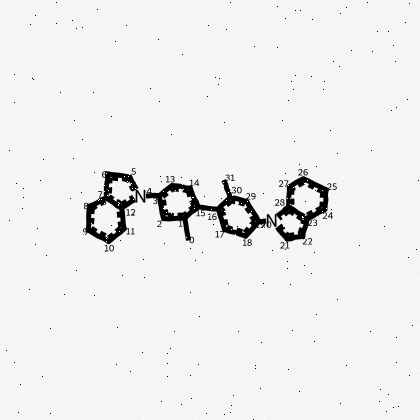 Cc1cc(-n2ccc3ccccc32)ccc1-c1ccc(-n2ccc3ccccc32)cc1C